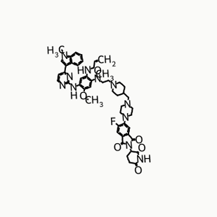 C=CC(=O)Nc1cc(Nc2nccc(-c3cn(C)c4ccccc34)n2)c(OC)cc1N(C)CCN1CCC(CN2CCN(c3cc4c(cc3F)C(=O)N(C3CCC(=O)NC3=O)C4=O)CC2)CC1